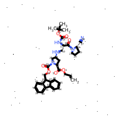 C=CCOC(=O)C1C[C@H](NC[C@H](NC(=O)OC(C)(C)C)C(=O)N2CCC[C@H]2C#N)CN1C(=O)OCC1c2ccccc2-c2ccccc21